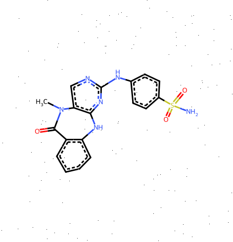 CN1C(=O)c2ccccc2Nc2nc(Nc3ccc(S(N)(=O)=O)cc3)ncc21